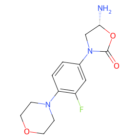 N[C@H]1CN(c2ccc(N3CCOCC3)c(F)c2)C(=O)O1